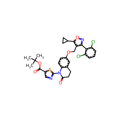 CC(C)(C)OC(=O)c1cnc(N2C(=O)CCc3cc(OCc4c(-c5c(Cl)cccc5Cl)noc4C4CC4)ccc32)s1